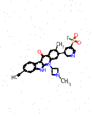 C#Cc1ccc2c(c1)[nH]c1c2c(=O)c2cc(C)c(-c3cncc(S(=O)(=O)F)c3)cc2n1C1CN(C)C1